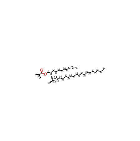 C=C(C)C(=O)O.C=C(C)C(=O)OCCCCCCCCCCCCCCCCCC.[CH2]CCCCCCCCCCCCCCCCC